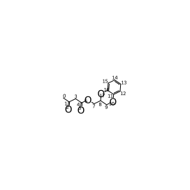 CC(=O)CC(=O)OCC1COc2ccccc2O1